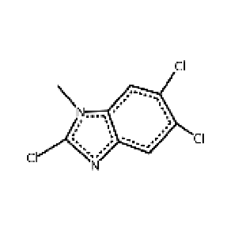 Cn1c(Cl)nc2cc(Cl)c(Cl)cc21